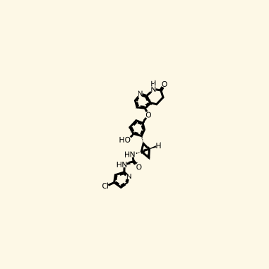 O=C1CCc2c(Oc3ccc(O)c([C@@H]4[C@@H]5C[C@@]45NC(=O)Nc4cc(Cl)ccn4)c3)ccnc2N1